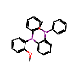 COc1ccccc1P(c1ccccc1)c1ccccc1P(c1ccccc1)C(C)C